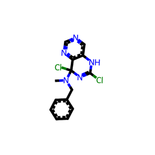 CN(Cc1ccccc1)C1(Cl)N=C(Cl)Nc2cncnc21